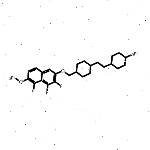 CCCOc1ccc2cc(OCC3CCC(CCC4CCC(CCC)CC4)CC3)c(F)c(F)c2c1F